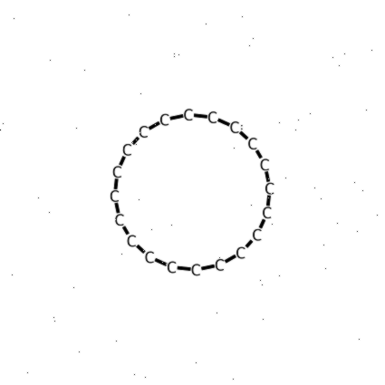 [C]1CCCCCCCCCCCCCCCCCCC1